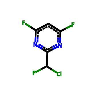 Fc1cc(F)nc(C(F)Cl)n1